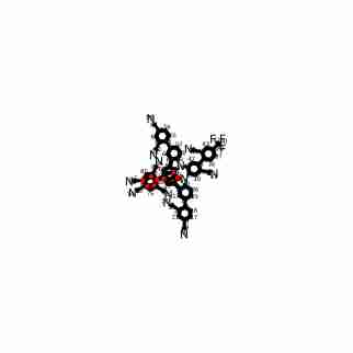 N#Cc1ccc(-c2ccc3c(c2)c2cc(-c4ccc(C#N)cc4C#N)ccc2n3-c2cc(C#N)c(-c3ccc(C(F)(F)F)cc3C#N)cc2-n2c3ccc(-c4ccc(C#N)cc4C#N)cc3c3cc(-c4ccc(C#N)cc4C#N)ccc32)c(C#N)c1